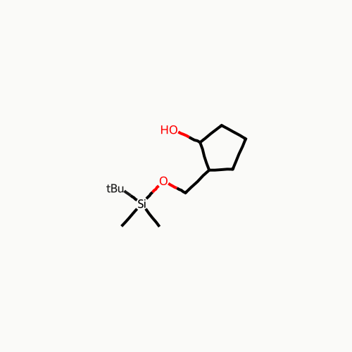 CC(C)(C)[Si](C)(C)OCC1CCCC1O